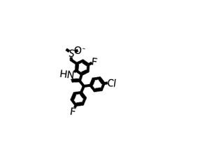 C[S+]([O-])Cc1cc(F)cc2c(C(c3ccc(F)cc3)c3ccc(Cl)cc3)c[nH]c12